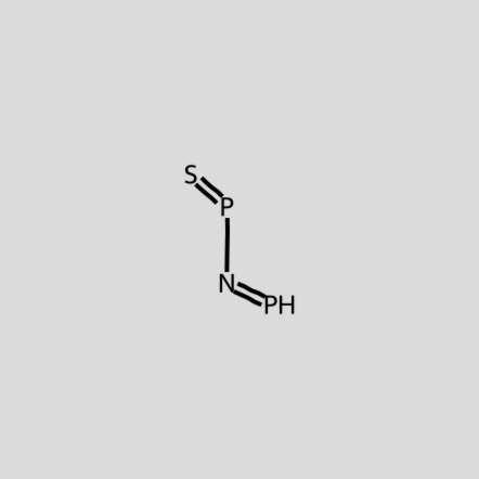 P=NP=S